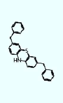 c1ccc(Cc2ccc3c(c2)Sc2cc(Cc4ccccc4)ccc2N3)cc1